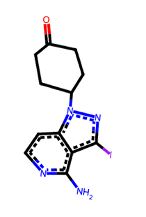 Nc1nccc2c1c(I)nn2C1CCC(=O)CC1